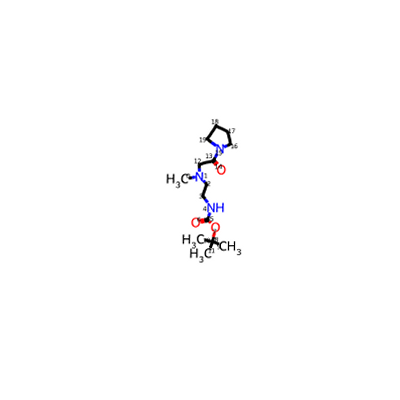 CN(CCNC(=O)OC(C)(C)C)CC(=O)N1CCCC1